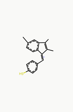 CC1=C(C)c2cc(C)ccc2/C1=C\c1ccc(S)cc1